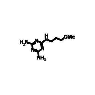 COCCCNc1nc(N)nc(N)n1